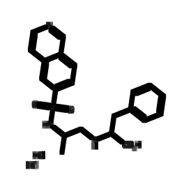 CC(CNC(Cc1ccccc1)C(=O)O)NS(=O)(=O)c1ccc2cnccc2c1.Cl.Cl